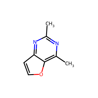 Cc1nc(C)c2occc2n1